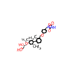 Cc1cc(-c2cccc(COc3ccc(Cn4oc(=O)[nH]c4=O)cc3)c2C)c(C)cc1OC[C@H](O)CO